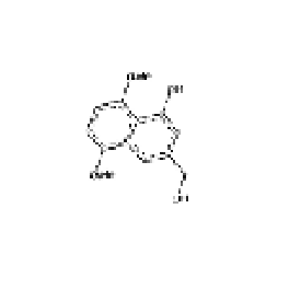 COc1ccc(OC)c2c(O)cc(CO)cc12